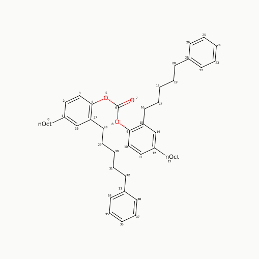 CCCCCCCCc1ccc(OC(=O)Oc2ccc(CCCCCCCC)cc2CCCCCc2ccccc2)c(CCCCCc2ccccc2)c1